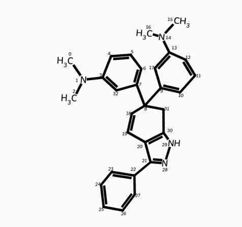 CN(C)c1cccc(C2(c3cccc(N(C)C)c3)C=Cc3c(-c4ccccc4)n[nH]c3C2)c1